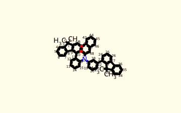 CC1(C)c2ccccc2-c2c(-c3ccccc3N(c3cccc(-c4cccc5c4C(C)(C)c4ccccc4-5)c3)c3ccc4ccccc4c3)cccc21